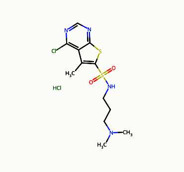 Cc1c(S(=O)(=O)NCCCN(C)C)sc2ncnc(Cl)c12.Cl